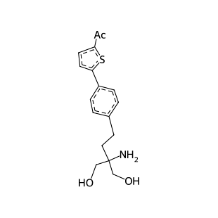 CC(=O)c1ccc(-c2ccc(CCC(N)(CO)CO)cc2)s1